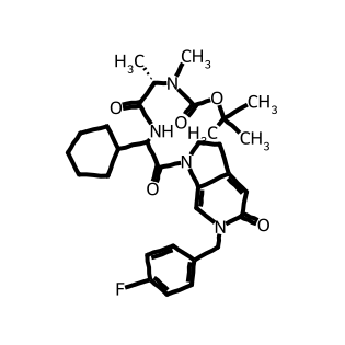 C[C@@H](C(=O)N[C@H](C(=O)N1CCc2cc(=O)n(Cc3ccc(F)cc3)cc21)C1CCCCC1)N(C)C(=O)OC(C)(C)C